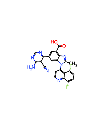 Cc1nc2c(C(=O)O)cc(-c3ncnc(N)c3C#N)cc2n1-c1ccnc2c(F)ccc(F)c12